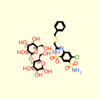 NS(=O)(=O)c1cc2c(cc1Cl)N=C(CSCc1ccccc1)NS2(=O)=O.OC[C@H]1O[C@H](O[C@H]2[C@H](O)[C@@H](O)[C@H](O)O[C@@H]2CO)[C@H](O)[C@@H](O)[C@@H]1O